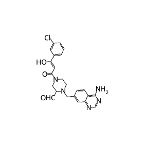 Nc1ncnc2cc(CN3CCN(C(=O)C=C(O)c4cccc(Cl)c4)CC3C=O)ccc12